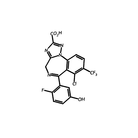 O=C(O)c1nc2n(n1)-c1ccc(C(F)(F)F)c(Cl)c1C(c1cc(O)ccc1F)=NC2